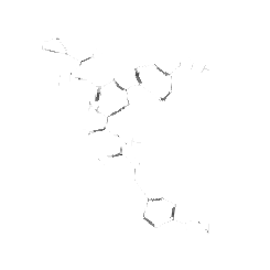 N#Cc1ccc(COC(=O)NC(=O)c2cc(-c3ccc(OC(F)(F)F)cc3)cc(NC(=O)C3CC3)n2)cc1